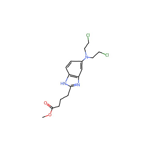 COC(=O)CCCc1nc2cc(N(CCCl)CCCl)ccc2[nH]1